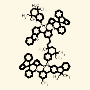 Cc1cc2c3c(c1)N1c4ccccc4C4(c5ccccc5-c5ccccc54)c4cccc(c41)B3N(c1ccc3c(c1)C(C)(C)CCC3(C)CCc1cc3c4c(c1)N1c5ccccc5C5(c6ccccc6-c6ccccc65)c5cccc(c51)B4N(c1ccc4c(c1)C(C)(C)CCC4(C)C)c1ccc4c(sc5ccccc54)c1-3)c1cc3c(cc1-2)C(C)(C)c1ccccc1-3